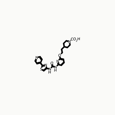 O=C(Nc1cccc(OCCC2CCN(C(=O)O)CC2)n1)Nc1csc(-c2ccncc2)n1